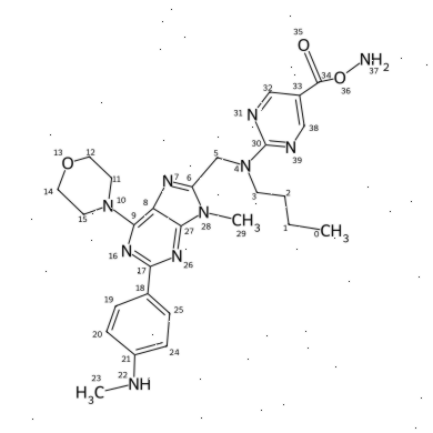 CCCCN(Cc1nc2c(N3CCOCC3)nc(-c3ccc(NC)cc3)nc2n1C)c1ncc(C(=O)ON)cn1